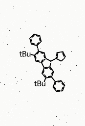 CC(C)(C)c1cc2c(cc1-c1ccccc1)C(C1=CC=CC1)c1cc(-c3ccccc3)c(C(C)(C)C)cc1-2